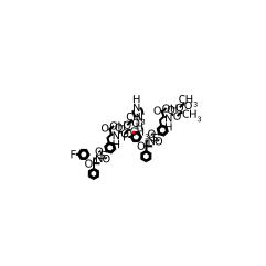 C1CNCCN1.CC(=O)OC(C)OC(=O)NC(Cc1cccc(S(=O)(=O)N2CC(Oc3cccc(F)c3)(c3ccccc3)C2)c1)C(=O)O.CC(=O)OC(C)OC(=O)NC(Cc1cccc(S(=O)(=O)N2CC(Oc3cccc(F)c3)(c3ccccc3)C2)c1)C(=O)O